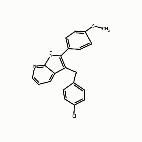 CSc1ccc(-c2[nH]c3ncccc3c2Sc2ccc(Cl)cc2)cc1